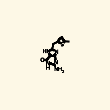 Cc1ccc(Cc2nc3nc(N)[nH]c(=O)c3[nH]2)s1